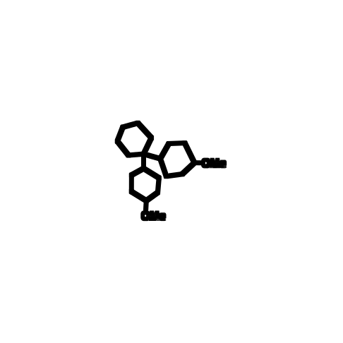 COC1CCC(C2(C3CCC(OC)CC3)CCCCC2)CC1